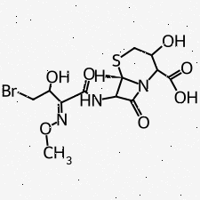 CON=C(C(=O)NC1C(=O)N2C(C(=O)O)C(O)CS[C@@H]12)C(O)CBr